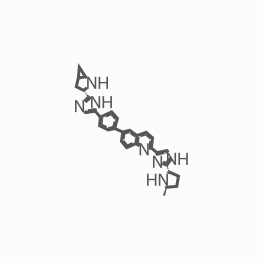 C[C@@H]1CC[C@@H](c2nc(-c3ccc4cc(-c5ccc(-c6cnc([C@@H]7CC8CC8N7)[nH]6)cc5)ccc4n3)c[nH]2)N1